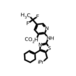 CC(C)Cc1sc(Nc2ncc(C(C)(F)F)cc2C(=O)O)nc1C1=CCCCC1